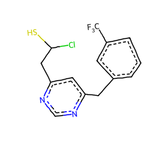 FC(F)(F)c1cccc(Cc2cc(CC(S)Cl)ncn2)c1